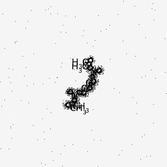 CC1(C)c2ccccc2-c2cc(N(c3ccccc3)c3ccc4c(ccc5c6ccc7c8ccc9cc(N(c%10ccccc%10)c%10ccc%11c(c%10)-c%10ccccc%10C%11(C)C)ccc9c8oc7c6oc45)c3)ccc21